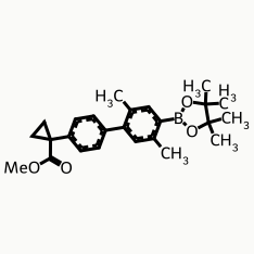 COC(=O)C1(c2ccc(-c3cc(C)c(B4OC(C)(C)C(C)(C)O4)cc3C)cc2)CC1